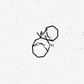 CC1(C)CC2CCCC(CCC2)PC12PC1CCCC2CCC1